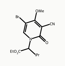 CCOC(=O)C(C(C)C)n1cc(Br)c(OC)c(C#N)c1=O